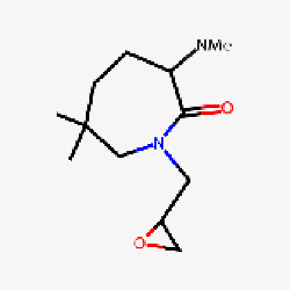 CNC1CCC(C)(C)CN(CC2CO2)C1=O